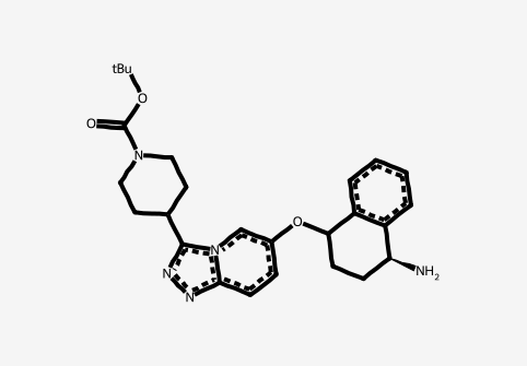 CC(C)(C)OC(=O)N1CCC(c2nnc3ccc(OC4CC[C@H](N)c5ccccc54)cn23)CC1